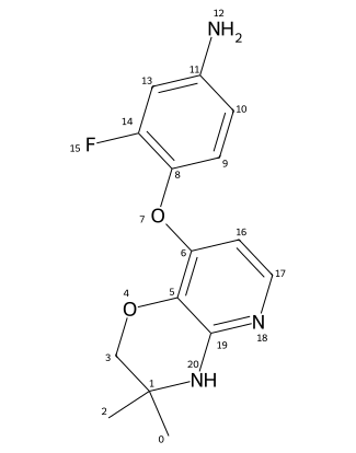 CC1(C)COc2c(Oc3ccc(N)cc3F)ccnc2N1